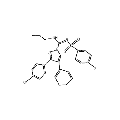 CCCNC(=NS(=O)(=O)c1ccc(F)cc1)n1cc(C2=CCCC=C2)c(-c2ccc(Cl)cc2)n1